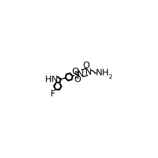 NCCN1CCN(S(=O)(=O)c2ccc(-c3c[nH]c4cc(F)ccc34)cc2)CC1=O